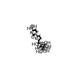 O=C(OC(O)C1CCC(n2ccc(NO)nc2=O)O1)C(O)(C(O)(O)O)C(O)(O)O